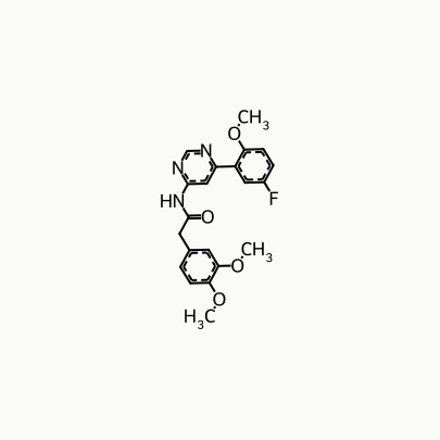 COc1ccc(CC(=O)Nc2cc(-c3cc(F)ccc3OC)ncn2)cc1OC